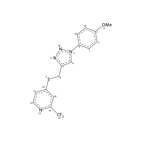 COc1ccc(-n2cc(CSc3ccnc(C(F)(F)F)c3)nn2)cc1